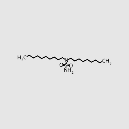 CCCCCCCCCCN(CCCCCCCCC)S(N)(=O)=O